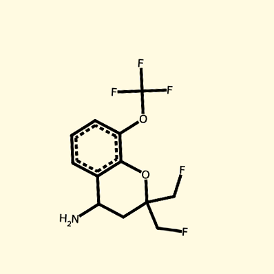 NC1CC(CF)(CF)Oc2c(OC(F)(F)F)cccc21